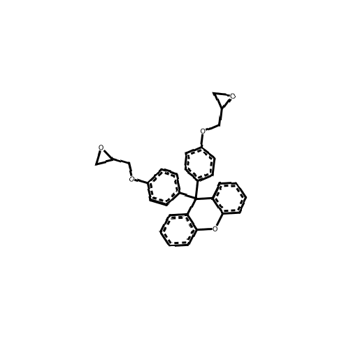 c1ccc2c(c1)Oc1ccccc1C2(c1ccc(OCC2CO2)cc1)c1ccc(OCC2CO2)cc1